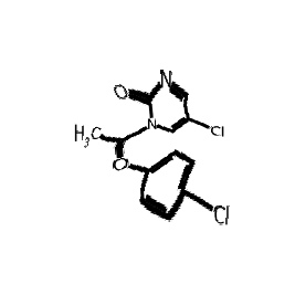 CC(Oc1ccc(Cl)cc1)n1cc(Cl)cnc1=O